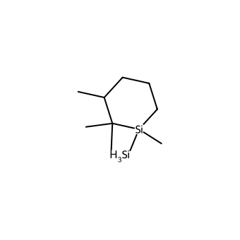 CC1CCC[Si](C)([SiH3])C1(C)C